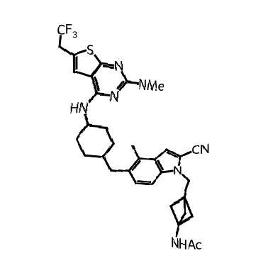 CNc1nc(NC2CCC(Cc3ccc4c(cc(C#N)n4CC45CC(NC(C)=O)(C4)C5)c3C)CC2)c2cc(CC(F)(F)F)sc2n1